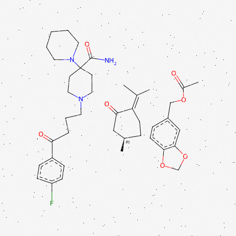 CC(=O)OCc1ccc2c(c1)OCO2.CC(C)=C1CC[C@@H](C)CC1=O.NC(=O)C1(N2CCCCC2)CCN(CCCC(=O)c2ccc(F)cc2)CC1